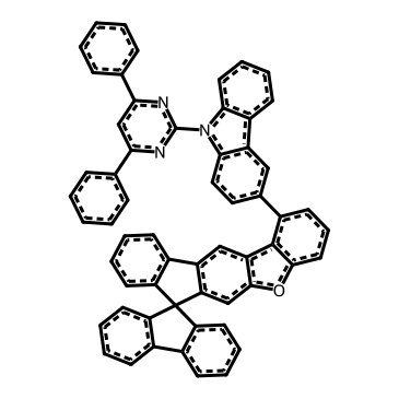 c1ccc(-c2cc(-c3ccccc3)nc(-n3c4ccccc4c4cc(-c5cccc6oc7cc8c(cc7c56)-c5ccccc5C85c6ccccc6-c6ccccc65)ccc43)n2)cc1